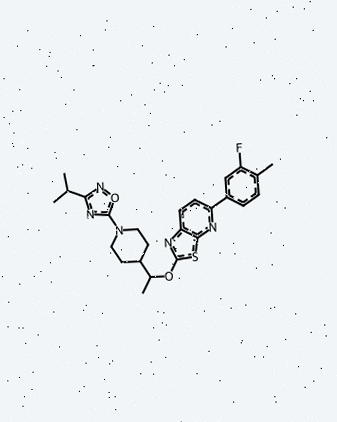 Cc1ccc(-c2ccc3nc(OC(C)C4CCN(c5nc(C(C)C)no5)CC4)sc3n2)cc1F